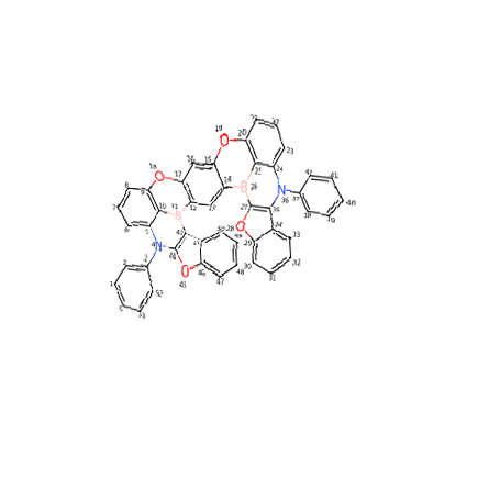 c1ccc(N2c3cccc4c3B(c3cc5c(cc3O4)Oc3cccc4c3B5c3oc5ccccc5c3N4c3ccccc3)c3c2oc2ccccc32)cc1